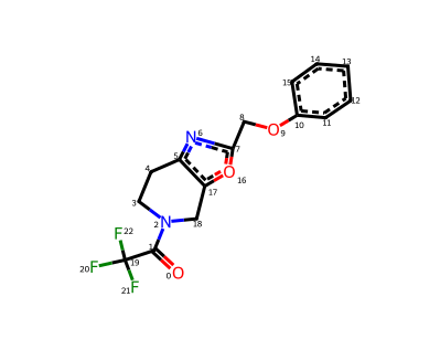 O=C(N1CCc2nc(COc3ccccc3)oc2C1)C(F)(F)F